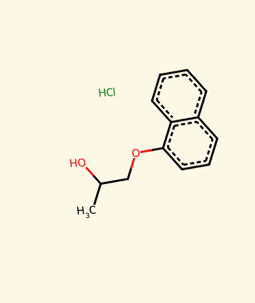 CC(O)COc1cccc2ccccc12.Cl